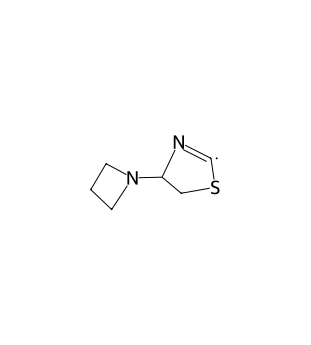 [C]1=NC(N2CCC2)CS1